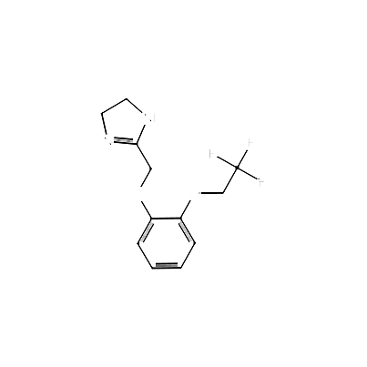 FC(F)(F)COc1ccccc1OCC1=NCCN1